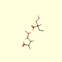 CCC(I)(CCO)C(=O)OC(C)C1OC(=O)C(C)C1O